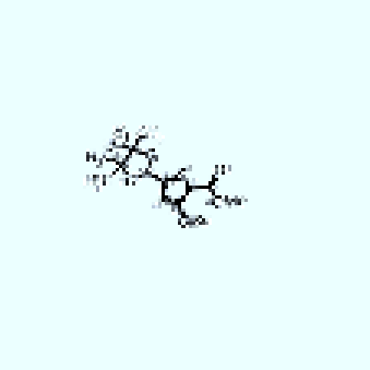 COC(=O)c1sc(B2OC(C)(C)C(C)(C)O2)cc1OCC(C)C